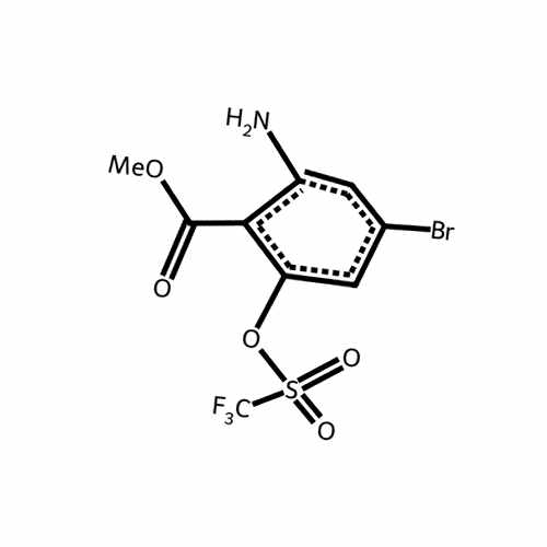 COC(=O)c1c(N)cc(Br)cc1OS(=O)(=O)C(F)(F)F